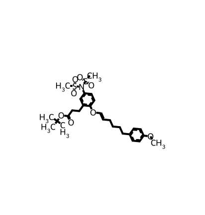 COc1ccc(CCCCC=COc2ccc(N(S(C)(=O)=O)S(C)(=O)=O)cc2CCC(=O)OC(C)(C)C)cc1